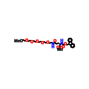 COCCOCCOCCOCCOCCOCCNC(=O)CC[C@@H](NC(=O)OCC1c2ccccc2-c2ccccc21)C(=O)OC(C)(C)C